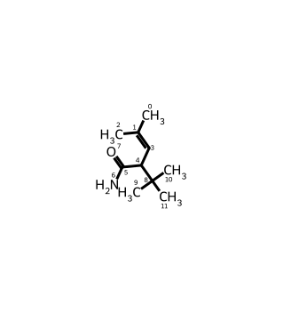 CC(C)=CC(C(N)=O)C(C)(C)C